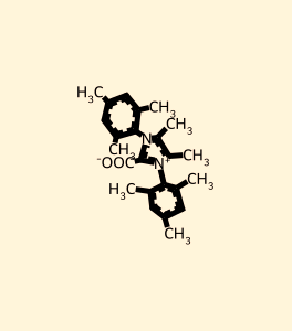 Cc1cc(C)c(-n2c(C)c(C)[n+](-c3c(C)cc(C)cc3C)c2C(=O)[O-])c(C)c1